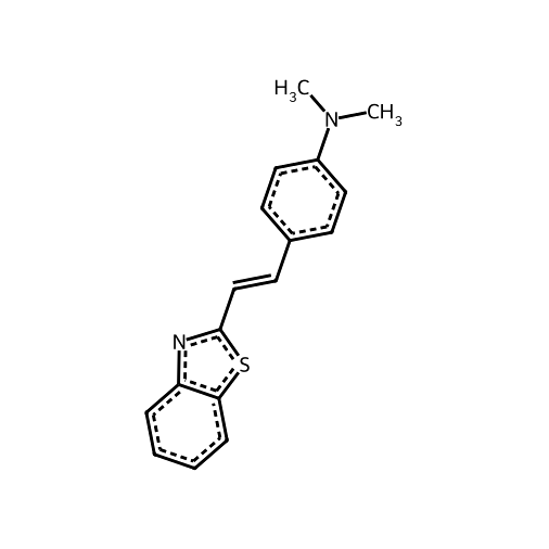 CN(C)c1ccc(/C=C/c2nc3ccccc3s2)cc1